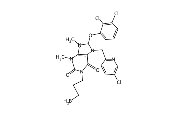 BCCCn1c(=O)c2c(n(C)c1=O)N(C)C(Oc1cccc(Cl)c1Cl)N2Cc1ccc(Cl)cn1